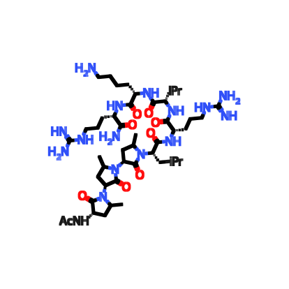 CC(=O)N[C@H]1CC(C)N([C@H]2CC(C)N([C@H]3CC(C)N([C@@H](CC(C)C)C(=O)N[C@@H](CCCNC(=N)N)C(=O)N[C@H](C(=O)N[C@@H](CCCCN)C(=O)N[C@@H](CCCNC(=N)N)C(N)=O)C(C)C)C3=O)C2=O)C1=O